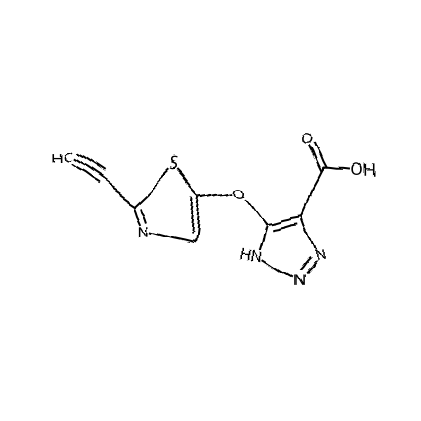 C#Cc1ncc(Oc2[nH]nnc2C(=O)O)s1